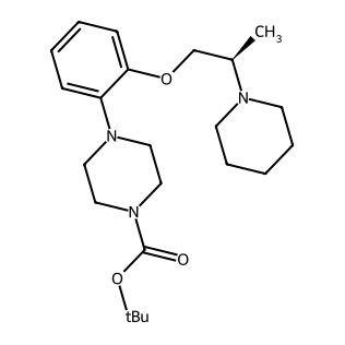 C[C@H](COc1ccccc1N1CCN(C(=O)OC(C)(C)C)CC1)N1CCCCC1